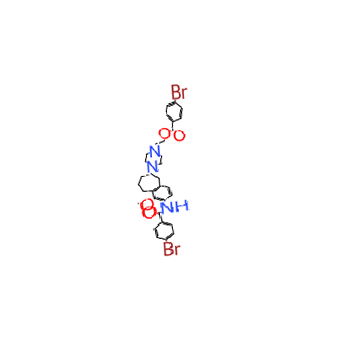 COc1c(NC(=O)c2ccc(Br)cc2)ccc2c1CCCC(N1CCN(CCOC(=O)c3ccc(Br)cc3)CC1)C2